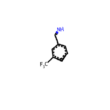 N=Cc1cccc(C(F)(F)F)c1